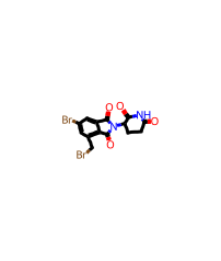 O=C1CCC(N2C(=O)c3cc(Br)cc(CBr)c3C2=O)C(=O)N1